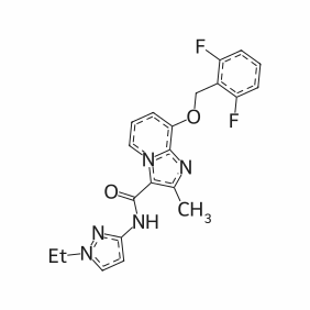 CCn1ccc(NC(=O)c2c(C)nc3c(OCc4c(F)cccc4F)cccn23)n1